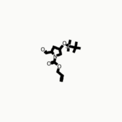 C=CCOC(=O)N1CC(O[Si](C)(C)C(C)(C)C)CC1C=O